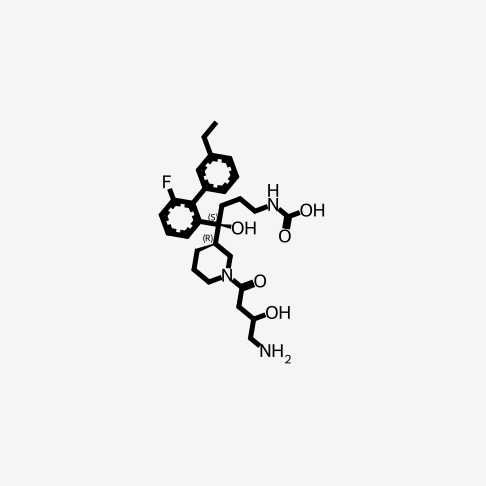 CCc1cccc(-c2c(F)cccc2[C@](O)(CCCNC(=O)O)[C@@H]2CCCN(C(=O)CC(O)CN)C2)c1